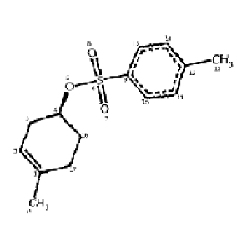 CC1=CC[C@@H](OS(=O)(=O)c2ccc(C)cc2)CC1